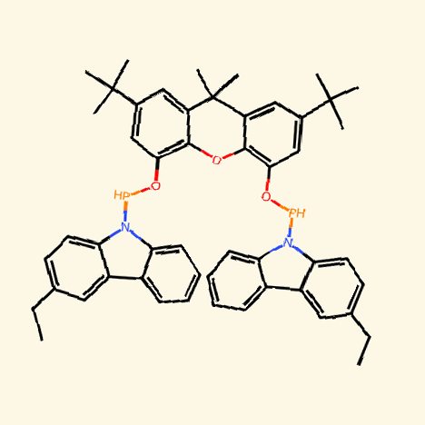 CCc1ccc2c(c1)c1ccccc1n2POc1cc(C(C)(C)C)cc2c1Oc1c(OPn3c4ccccc4c4cc(CC)ccc43)cc(C(C)(C)C)cc1C2(C)C